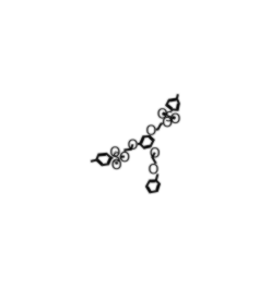 Cc1ccc(S(=O)(=O)OCCOc2cc(OCCOCc3ccccc3)cc(OCCOS(=O)(=O)c3ccc(C)cc3)c2)cc1